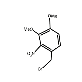 COc1ccc(CBr)c([N+](=O)[O-])c1OC